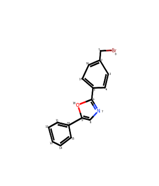 BrCc1ccc(-c2ncc(-c3ccccc3)o2)cc1